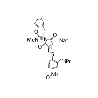 CNC(=O)[C@H](Cc1ccccc1)N1C(=O)C[C@@H](CSc2ccc(N[O-])cc2CC(C)C)C1=O.[Na+]